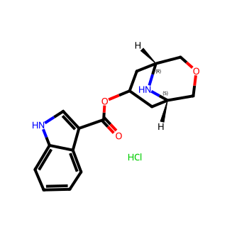 Cl.O=C(OC1C[C@H]2COC[C@@H](C1)N2)c1c[nH]c2ccccc12